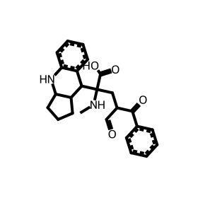 CNC(CC(C=O)C(=O)c1ccccc1)(C(=O)O)C1c2ccccc2NC2CCCC21